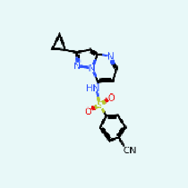 N#Cc1ccc(S(=O)(=O)Nc2ccnc3cc(C4CC4)nn23)cc1